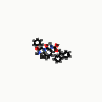 CN(CC(=O)O)C(=O)[C@H](CC1CCCCC1)N1CC/C=C\C[C@H](N(C)C(=O)OCC2c3ccccc3-c3ccccc32)C1=O